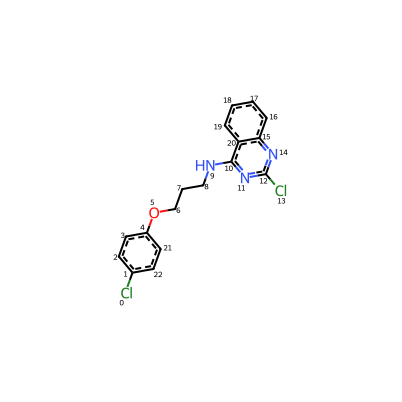 Clc1ccc(OCCCNc2nc(Cl)nc3ccccc23)cc1